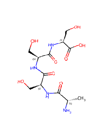 C[C@H](N)C(=O)N[C@@H](CO)C(=O)N[C@@H](CO)C(=O)N[C@@H](CO)C(=O)O